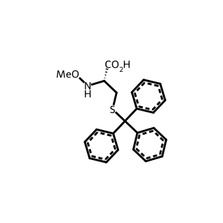 CON[C@@H](CSC(c1ccccc1)(c1ccccc1)c1ccccc1)C(=O)O